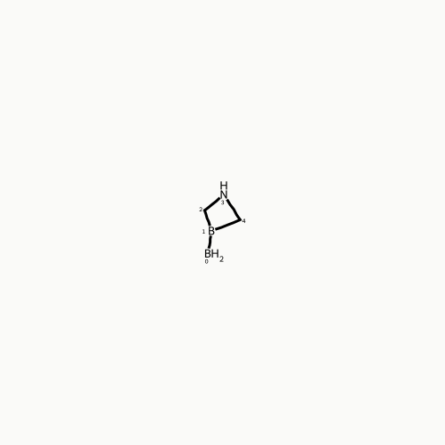 BB1CNC1